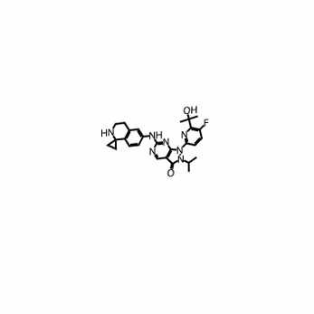 CC(C)n1c(=O)c2cnc(Nc3ccc4c(c3)CCNC43CC3)nc2n1-c1ccc(F)c(C(C)(C)O)n1